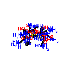 N=C(N)NCCC[C@H](NC(=O)[C@H](CS)NC(=O)[C@H](CCCNC(N)=O)NC(=O)[C@H](CCCNC(=N)N)NC(=O)[C@H](Cc1ccc(O)cc1)NC(=O)[C@@H]1CCCN1C(=O)[C@@H](CCCCN)NC(=O)[C@H](CCCCN)NC(=O)[C@H](CCCNC(N)=O)NC(=O)[C@H](Cc1ccc(O)cc1)NC(=O)[C@H](CS)NC(=O)[C@H](Cc1ccc2ccccc2c1)NC(=O)[C@H](CCCNC(=N)N)NC(=O)[C@@H](N)CCCNC(=N)N)C(=O)O